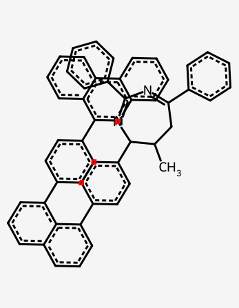 CC1CC(c2ccccc2)=NC(c2ccccc2)=NC1c1ccc(-c2cccc3cccc(-c4ccc(-c5nc6ccccc6c6ccccc56)cc4)c23)cc1